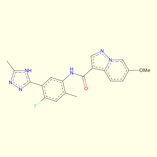 COc1ccc2c(C(=O)Nc3cc(-c4nnc(C)[nH]4)c(F)cc3C)cnn2c1